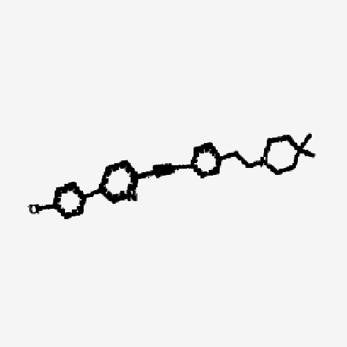 CC1(C)CCN(CCc2ccc(C#Cc3ccc(-c4ccc(Cl)cc4)cn3)cc2)CC1